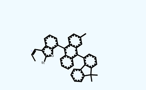 C/C=C\c1c(CC)oc2c(-c3c4ccccc4c(-c4cccc5c4-c4ccccc4C5(C)C)c4cc(C)ccc34)cccc12